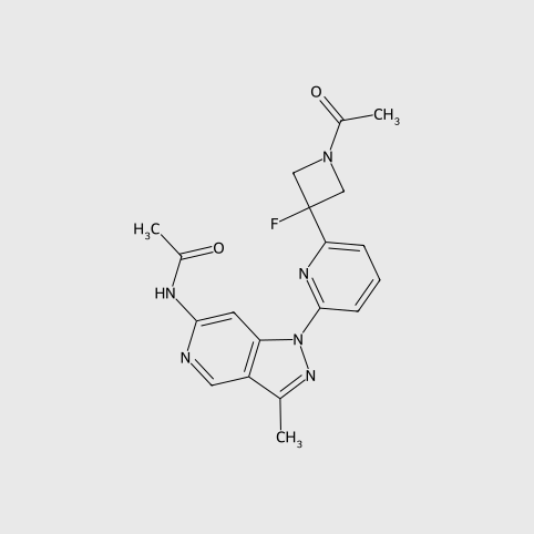 CC(=O)Nc1cc2c(cn1)c(C)nn2-c1cccc(C2(F)CN(C(C)=O)C2)n1